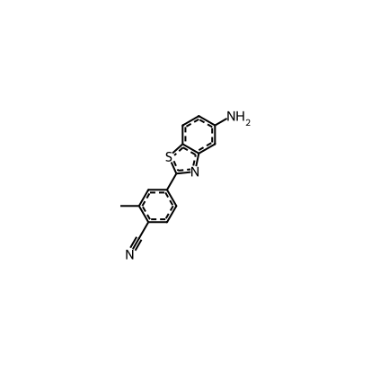 Cc1cc(-c2nc3cc(N)ccc3s2)ccc1C#N